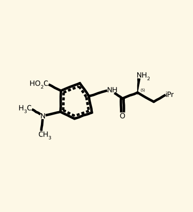 CC(C)C[C@H](N)C(=O)Nc1ccc(N(C)C)c(C(=O)O)c1